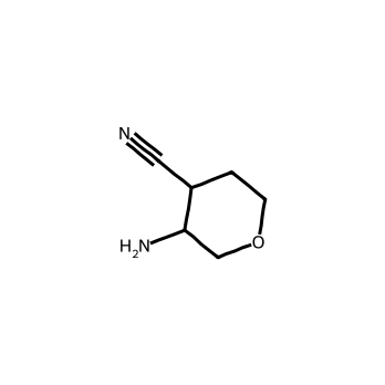 N#CC1CCOCC1N